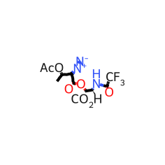 CC(=O)OC(C)C(=[N+]=[N-])C(=O)OC[C@H](NC(=O)C(F)(F)F)C(=O)O